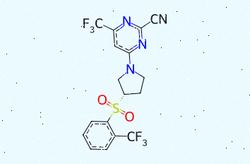 N#Cc1nc(N2CC[C@H](S(=O)(=O)c3ccccc3C(F)(F)F)C2)cc(C(F)(F)F)n1